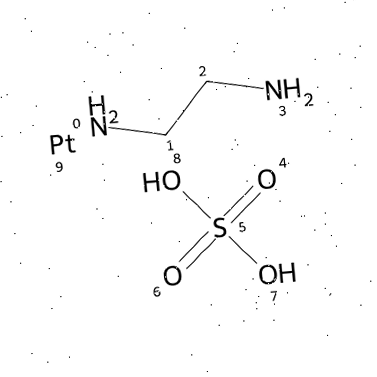 NCCN.O=S(=O)(O)O.[Pt]